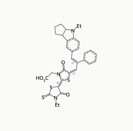 CCN1C(=O)/C(=c2\s/c(=C/C(=C/c3ccc4c(c3)C3CCCC3N4CC)c3ccccc3)c(=O)n2CC(=O)O)SC1=S